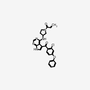 C=CC(=O)N1CCC(Nc2ncnc3[nH]cc(C(=O)c4ccc(Oc5ccccc5)cc4Cl)c23)C1